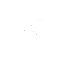 CNc1cc(N2CCCCC2)nc(N)n1